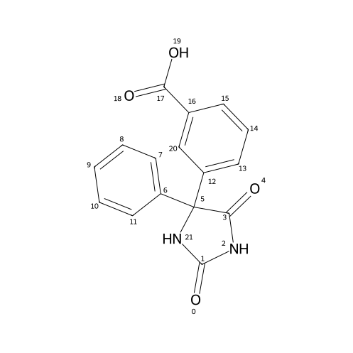 O=C1NC(=O)C(c2ccccc2)(c2cccc(C(=O)O)c2)N1